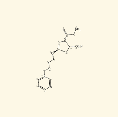 NCC(=O)N1C[C@H](OCCOCc2ccccc2)C[C@H]1C(=O)O